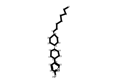 CCCCCCCC[C@H]1CC[C@H](C2CCC(c3ccc(F)nc3)CC2)CC1